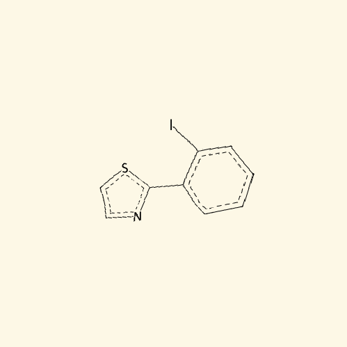 Ic1ccccc1-c1nccs1